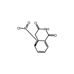 O=C1CC23CC([N+](=O)[O-])=CC=C2C=CC=C3C(=O)N1